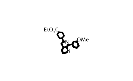 CCOC(=O)C1CCC(c2cc3cccnc3c(-c3cccc(OC)c3)n2)CC1